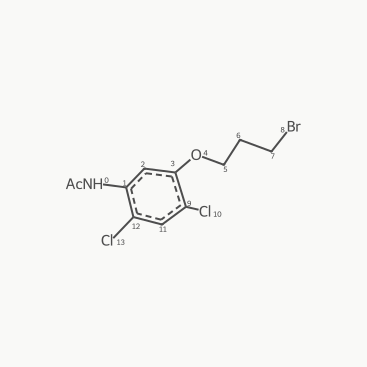 CC(=O)Nc1cc(OCCCBr)c(Cl)cc1Cl